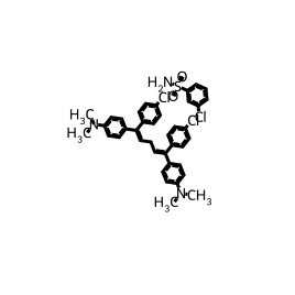 CN(C)c1ccc(C(=CCC=C(c2ccc(Cl)cc2)c2ccc(N(C)C)cc2)c2ccc(Cl)cc2)cc1.NS(=O)(=O)c1cccc(Cl)c1